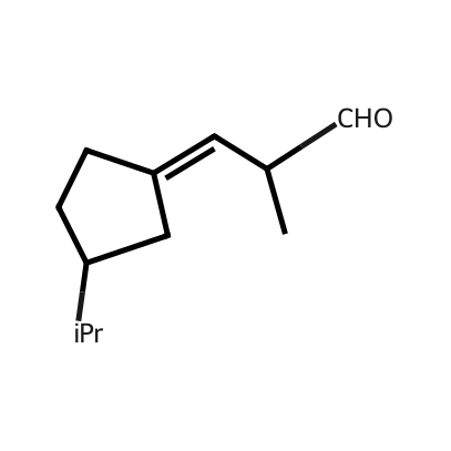 CC(C=O)C=C1CCC(C(C)C)C1